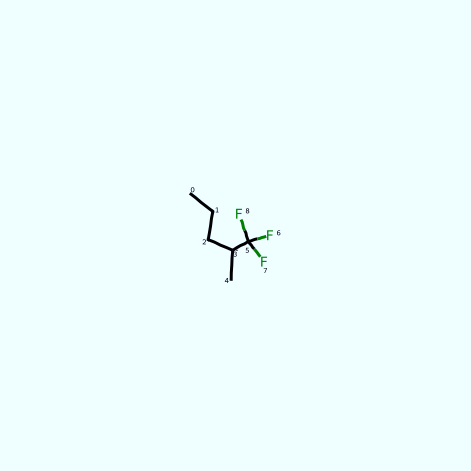 CCC[C](C)C(F)(F)F